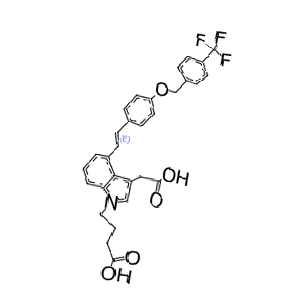 O=C(O)CCCn1cc(CC(=O)O)c2c(/C=C/c3ccc(OCc4ccc(C(F)(F)F)cc4)cc3)cccc21